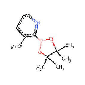 COc1cccnc1B1OC(C)(C)C(C)(C)O1